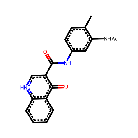 CC(=O)Nc1cc(NC(=O)c2c[nH]c3ccccc3c2=O)ccc1C